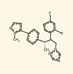 C[C@@H]([C](Cn1cncn1)c1ccc(F)cc1F)c1ccc(-c2ccnn2C)cc1